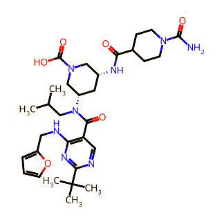 CC(C)CN(C(=O)c1cnc(C(C)(C)C)nc1NCc1ccco1)[C@H]1C[C@@H](NC(=O)C2CCN(C(N)=O)CC2)CN(C(=O)O)C1